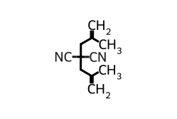 C=C(C)CC(C#N)(C#N)CC(=C)C